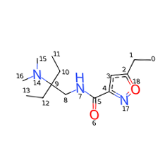 CCc1cc(C(=O)NCC(CC)(CC)N(C)C)no1